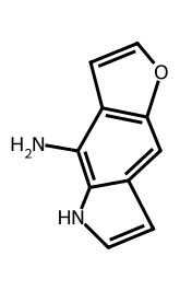 Nc1c2ccoc2cc2cc[nH]c12